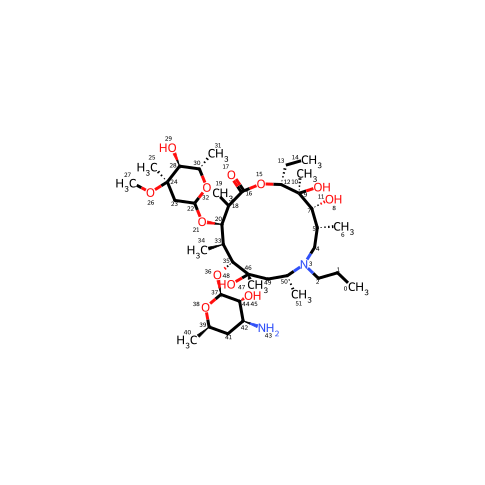 CCCN1C[C@@H](C)[C@@H](O)[C@](C)(O)[C@@H](CC)OC(=O)C(C)[C@H](OC2C[C@@](C)(OC)[C@@H](O)[C@H](C)O2)[C@H](C)[C@@H](O[C@@H]2O[C@H](C)C[C@H](N)[C@H]2O)[C@@](C)(O)C[C@H]1C